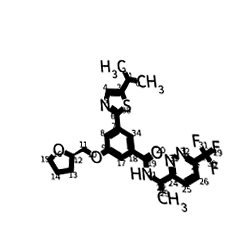 CC(C)c1cnc(-c2cc(OC[C@H]3CCCO3)cc(C(=O)NC(C)c3ccc(C(F)(F)F)nn3)c2)s1